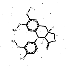 COc1cc([C@H]2c3cc(OC)c(OC)cc3C[C@@H]3COC(=O)[C@H]32)ccc1O